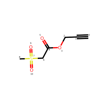 C#CCOC(=O)CS(C)(=O)=O